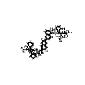 COC(=O)NC(C(=O)N1CCC[C@H]1c1nc2ccc3cc(-c4ccc5cc(-c6cnc([C@@H]7[C@H]8CC[C@H](C8)N7C(=O)[C@H](NC(=O)OC)c7ccccc7)[nH]6)ccc5c4)ccc3c2[nH]1)[C@@H](C)OC